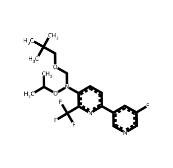 CC(C)ON(COCC(C)(C)C)c1ccc(-c2cncc(F)c2)nc1C(F)(F)F